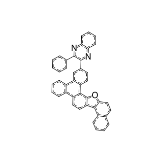 c1ccc(-c2nc3ccccc3nc2-c2ccc3c(c2)c2ccccc2c2ccc4c(oc5ccc6ccccc6c54)c23)cc1